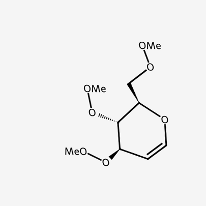 COOC[C@H]1OC=C[C@@H](OOC)[C@@H]1OOC